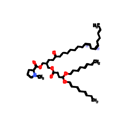 CCCCC/C=C\C/C=C\CCCCCCCC(=O)CCC(COC(=O)CCC(OCCCCCCCC)OCCCCCCCC)COC(=O)C1CCCN1C